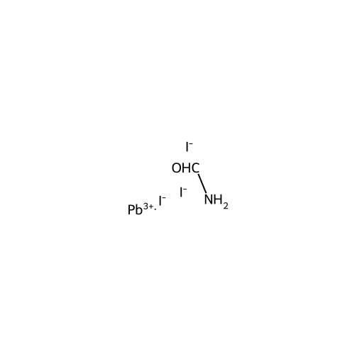 NC=O.[I-].[I-].[I-].[Pb+3]